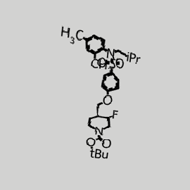 Cc1ccc(N(CC(C)C)S(=O)(=O)c2ccc(OC[C@@H]3CCN(C(=O)OC(C)(C)C)C[C@@H]3F)cc2)c(C)c1